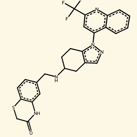 O=C1CSc2ccc(CNC3CCc4c(cnn4-c4cc(C(F)(F)F)nc5ccccc45)C3)cc2N1